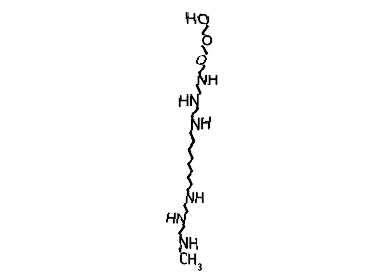 CCNCCNCCNCCCCCCCCCNCCNCCNCCOCCOCCO